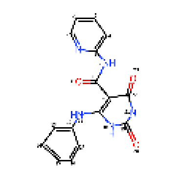 O=C(Nc1ccccn1)c1c(Nc2ccccc2)[nH]c(=O)[nH]c1=O